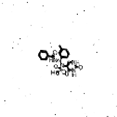 Cc1cccc(N(NC(=O)c2ccccc2)N(c2c[nH]c(=O)[nH]c2=O)S(=O)(=O)O)c1